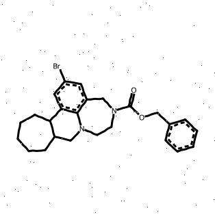 O=C(OCc1ccccc1)N1CCN2CC3CCCCCC3c3cc(Br)cc(c32)C1